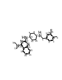 Cc1ccc(CN[C@H]2CC[C@@H](Nc3nc(N(C)C)c4ccccc4n3)CC2)cc1F